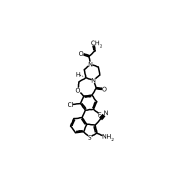 C=CC(=O)N1CCN2C(=O)c3cc(F)c(-c4cccc5sc(N)c(C#N)c45)c(Cl)c3OC[C@H]2C1